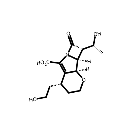 C[C@@H](O)[C@H]1C(=O)N2C(C(=O)O)=C3[C@@H](CCO)CCO[C@@H]3[C@H]12